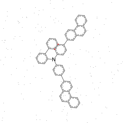 c1ccc(-c2ccccc2N(c2ccc(-c3ccc4c(ccc5ccccc54)c3)cc2)c2ccc(-c3ccc4c(ccc5ccccc54)c3)cc2)cc1